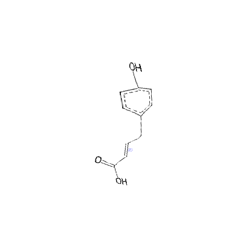 O=C(O)/C=C/Cc1ccc(O)cc1